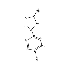 OC1CCC(c2ccc(Cl)nc2)C1